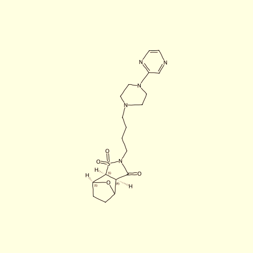 O=C1[C@H]2C3CC[C@H](O3)[C@H]2S(=O)(=O)N1CCCCN1CCN(c2cnccn2)CC1